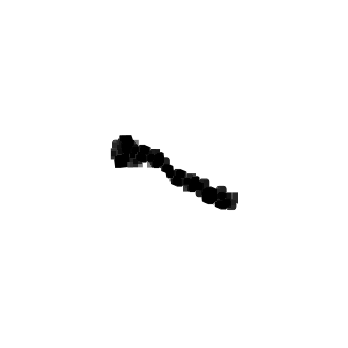 O=C1CCN(c2ccc(OC(=O)c3cnc(N4CCN(CCCOc5cnc(N6CCN(c7nc8c(c(NC9(CO)CCC9)n7)[S@+]([O-])CC8)CC6)nc5)CC4)nc3)cc2)C(=O)N1